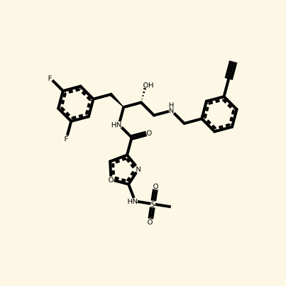 C#Cc1cccc(CNC[C@@H](O)[C@H](Cc2cc(F)cc(F)c2)NC(=O)c2coc(NS(C)(=O)=O)n2)c1